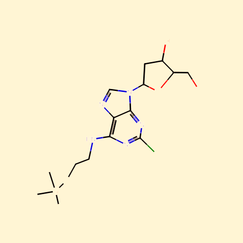 C[Si](C)(C)CCCNc1nc(Cl)nc2c1ncn2C1CC(O)C(CO)O1